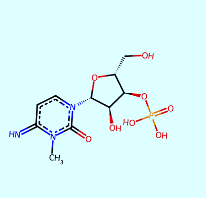 Cn1c(=N)ccn([C@@H]2O[C@H](CO)[C@@H](OP(=O)(O)O)[C@H]2O)c1=O